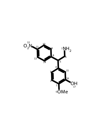 COc1ccc(C(CN)c2ccc([N+](=O)[O-])cc2)cc1O